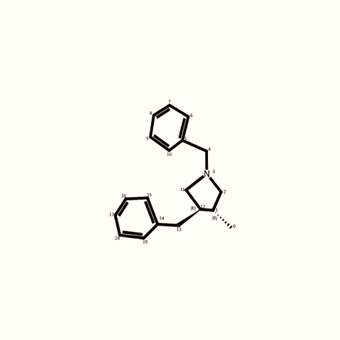 C[C@H]1CN(Cc2ccccc2)C[C@@H]1Cc1ccccc1